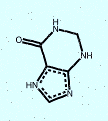 O=C1NCNc2nc[nH]c21